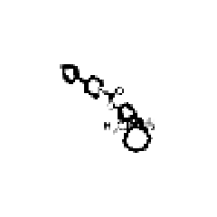 C[C@@]12CCCCC[C@@H](Cc3ccc(OC(=O)N4CCC(c5ccccc5)CC4)cc31)[C@@H]2N